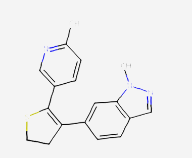 Cc1ccc(C2=C(c3ccc4cnn(C)c4c3)CCS2)cn1